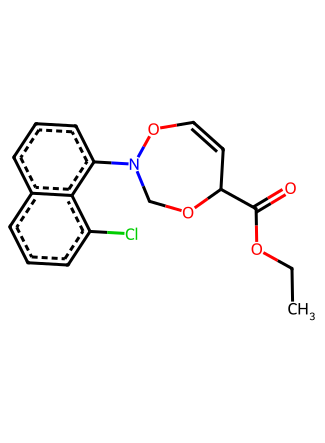 CCOC(=O)C1C=CON(c2cccc3cccc(Cl)c23)CO1